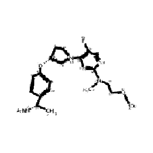 CC(=O)N[C@@H](C)c1ccc(O[C@@H]2CCN(c3nc(N(C)CCOC(C)(C)C)ncc3F)C2)cc1